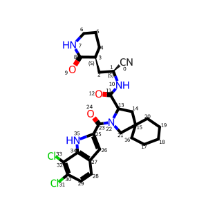 N#C[C@H](C[C@@H]1CCCNC1=O)NC(=O)C1CC2(CCCCC2)CN1C(=O)c1cc2ccc(Cl)c(Cl)c2[nH]1